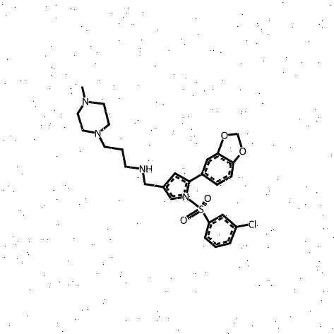 CN1CCN(CCCNCc2cc(-c3ccc4c(c3)OCO4)n(S(=O)(=O)c3cccc(Cl)c3)c2)CC1